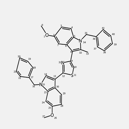 COc1ccc2c(c1)c(-c1csc(-c3cn(Cc4ccccc4)c4cc(OC)ccc34)n1)c(C)n2Cc1ccccc1